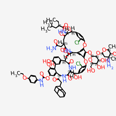 CCOc1ccc(NC(=O)Oc2cc(O)c3c(c2)[C@@H](C(=O)CC2C4CC5CC(C4)CC2C5)NC(=O)[C@H]2NC(=O)[C@H](CC(=O)[C@@H]4NC(=O)[C@H](CC(N)=O)CC(=O)[C@H](NC(=O)[C@H](CC)CC(C)C)[C@H](O)c5ccc(c(Cl)c5)Oc5cc4cc(c5O[C@@H]4O[C@H](CO)[C@@H](O)[C@H](O)[C@H]4O[C@H]4C[C@](C)(N)[C@H](O)[C@H](C)O4)Oc4ccc(cc4Cl)[C@H]2O)c2ccc(O)c-3c2)cc1